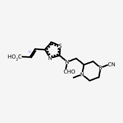 CN1CCB(C#N)CC1CN(C=O)c1nc(/C=C/C(=O)O)cs1